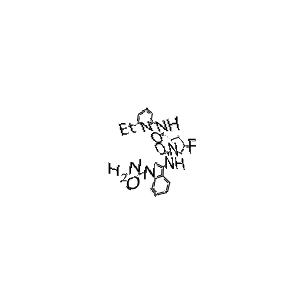 CCc1cccc(NC(=O)[C@@H]2C[C@@H](F)CN2C(=O)Nc2cn(C(N)=O)c3ccccc23)n1